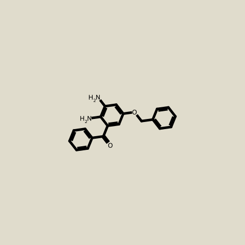 Nc1cc(OCc2ccccc2)cc(C(=O)c2ccccc2)c1N